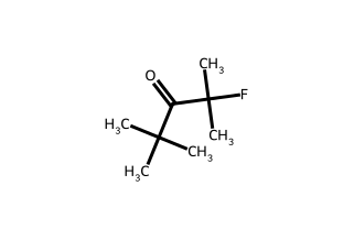 CC(C)(C)C(=O)C(C)(C)F